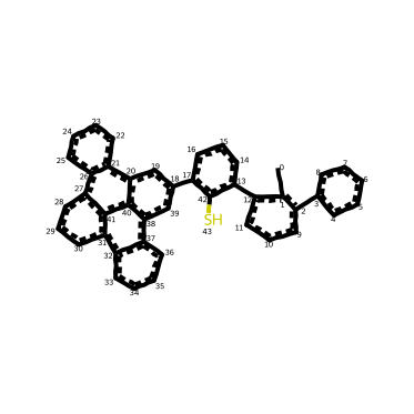 Cc1c(-c2ccccc2)cccc1-c1cccc(-c2cc3c4ccccc4c4cccc5c6ccccc6c(c2)c3c45)c1S